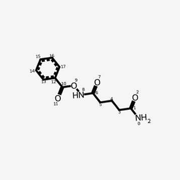 NC(=O)CCCC(=O)NOC(=O)c1ccccc1